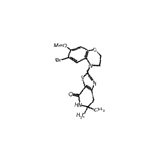 COc1cc2c(cc1Br)N(c1nc3c(s1)C(=O)NC(C)(C)C3)CCO2